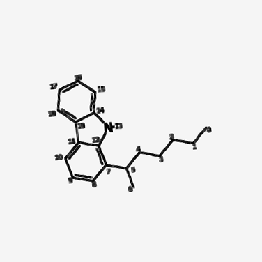 CCCCCC(C)c1cccc2c1[N]c1ccccc1-2